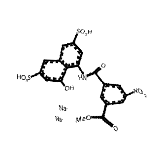 COC(=O)c1cc(C(=O)Nc2cc(S(=O)(=O)O)cc3cc(S(=O)(=O)O)cc(O)c23)cc([N+](=O)[O-])c1.[Na].[Na]